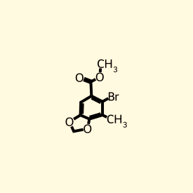 COC(=O)c1cc2c(c(C)c1Br)OCO2